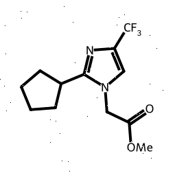 COC(=O)Cn1cc(C(F)(F)F)nc1C1CCCC1